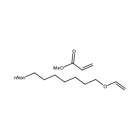 C=CC(=O)OC.C=COCCCCCCCCCCCCCCCC